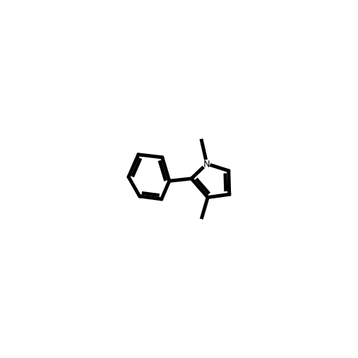 Cc1ccn(C)c1-c1ccccc1